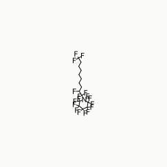 FC(CCCCCCCC(F)(F)F)C(F)(F)[N+]1(F)C(F)(F)C(F)(F)C(F)(F)C(F)(F)C1(F)F